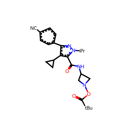 CC(C)n1nc(-c2ccc(C#N)cc2)c(C2CC2)c1C(=O)NC1CN(OC(=O)C(C)(C)C)C1